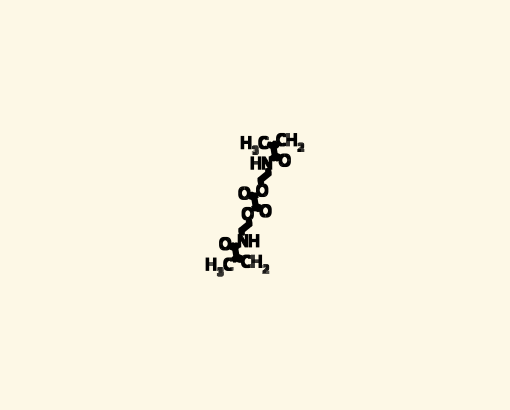 C=C(C)C(=O)NCCOC(=O)C(=O)OCCNC(=O)C(=C)C